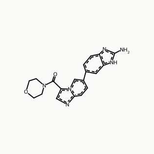 Nc1nc2ccc(-c3ccc4ncc(C(=O)N5CCOCC5)n4c3)cc2[nH]1